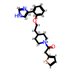 O=C(Cc1cccs1)N1CCC(CCOc2ccccc2-c2c[nH]cn2)CC1